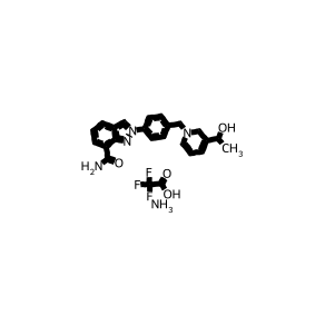 CC(O)C1=CC=CN(Cc2ccc(-n3cc4cccc(C(N)=O)c4n3)cc2)C1.N.O=C(O)C(F)(F)F